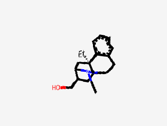 CC[C@@]12CC3C(CO)CC1C(Cc1ccccc12)N3C